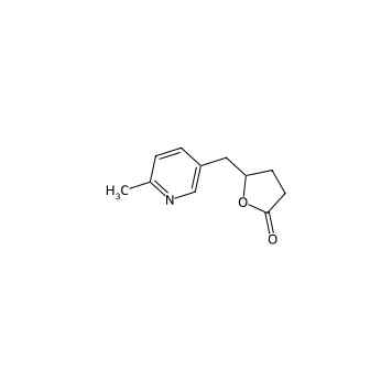 Cc1ccc(CC2CCC(=O)O2)cn1